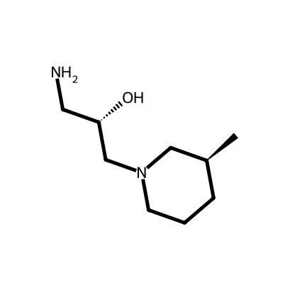 C[C@H]1CCCN(C[C@@H](O)CN)C1